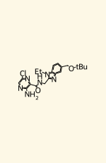 CCn1c(CNC(=O)c2nc(Cl)cnc2N)nc2cc(COC(C)(C)C)ccc21